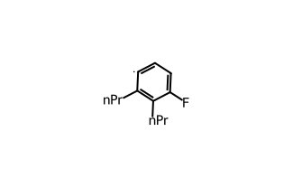 CCCc1[c]ccc(F)c1CCC